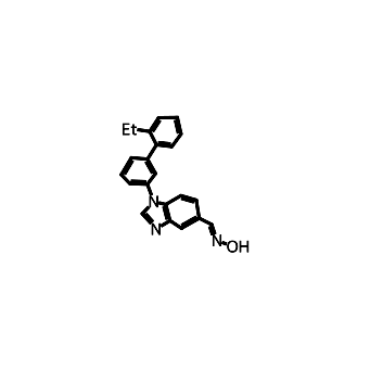 CCc1ccccc1-c1cccc(-n2cnc3cc(C=NO)ccc32)c1